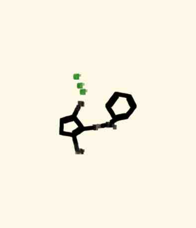 CCCC1=[C]([Ti+3][SiH2]c2ccccc2)C(CC)=CC1.[Cl-].[Cl-].[Cl-]